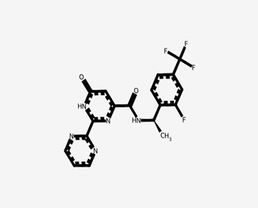 C[C@@H](NC(=O)c1cc(=O)[nH]c(-c2ncccn2)n1)c1ccc(C(F)(F)F)cc1F